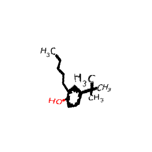 CCCCCc1cc(C(C)(C)C)ccc1O